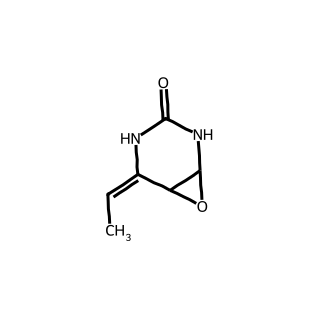 C/C=C1/NC(=O)NC2OC12